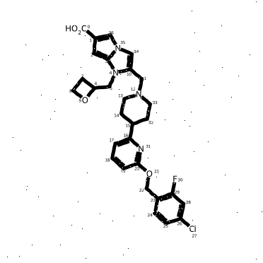 O=C(O)c1cc2n(CC3CCO3)c(CN3CCC(c4cccc(OCc5ccc(Cl)cc5F)n4)CC3)cn2c1